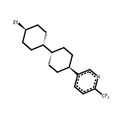 CC[C@H]1CC[C@H]([C@H]2CC[C@H](c3ccc(C(F)(F)F)nc3)CC2)CC1